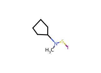 CN(SI)C1CCCC1